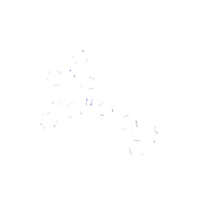 c1ccc(-n2c3ccccc3c3ccc(N(c4ccc(-c5ccc6c(c5)-c5cccc7c5C65C6CC8CC(C6)C7C5C8)cc4)c4ccc5c(c4)oc4ccccc45)cc32)cc1